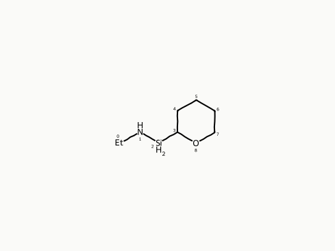 CCN[SiH2]C1CCCCO1